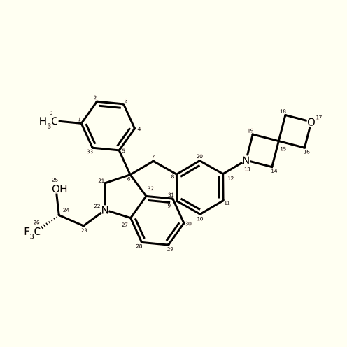 Cc1cccc(C2(Cc3cccc(N4CC5(COC5)C4)c3)CN(C[C@@H](O)C(F)(F)F)c3ccccc32)c1